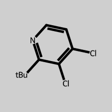 CC(C)(C)c1nccc(Cl)c1Cl